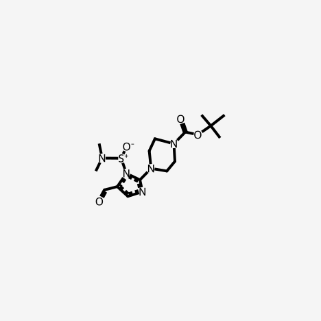 CN(C)[S+]([O-])n1c(C=O)cnc1N1CCN(C(=O)OC(C)(C)C)CC1